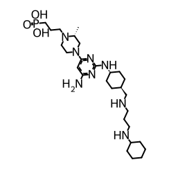 C[C@@H]1CN(c2cc(N)nc(N[C@H]3CC[C@H](CNCCCNC4CCCCC4)CC3)n2)CCN1CCCP(=O)(O)O